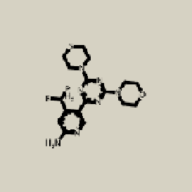 Nc1cc(C(F)P)c(-c2nc(N3CCOCC3)nc(N3CCSCC3)n2)cn1